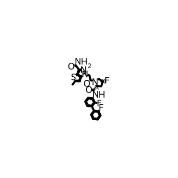 Cc1cc2c(s1)c(C(N)=O)nn2CC(=O)N1C[C@H](F)C[C@H]1C(=O)Nc1cccc(-c2ccccc2F)c1F